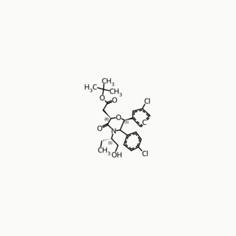 CC[C@@H](CO)N1C(=O)[C@@H](CC(=O)OC(C)(C)C)O[C@@H](c2cccc(Cl)c2)C1c1ccc(Cl)cc1